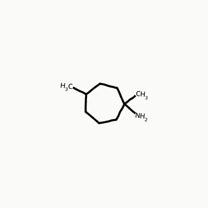 CC1CCCC(C)(N)CC1